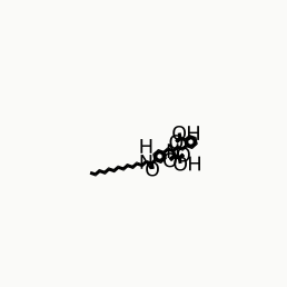 CCCCCCCCCCCCNC(=O)c1ccc(CN(CCc2ccccc2C(=O)O)C(=O)C(=O)O)cc1